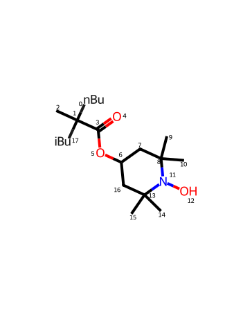 CCCCC(C)(C(=O)OC1CC(C)(C)N(O)C(C)(C)C1)C(C)CC